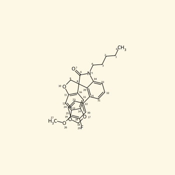 CCCCCN1C(=O)C2(COc3cc4c(cc32)OCO4)c2c(-c3ccc(OC)c(F)c3)cccc21